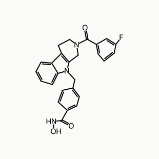 O=C(NO)c1ccc(Cn2c3c(c4ccccc42)CCN(C(=O)c2cccc(F)c2)C3)cc1